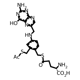 CC(=O)SCc1cc(NCc2cnc3nc(N)nc(O)c3n2)ccc1CSC(=O)CC[C@H](N)C(=O)O